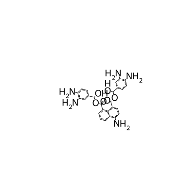 Nc1ccc(C(O)OC(=O)c2cccc3c(N)ccc(C(=O)OC(O)c4ccc(N)c(N)c4)c23)cc1N